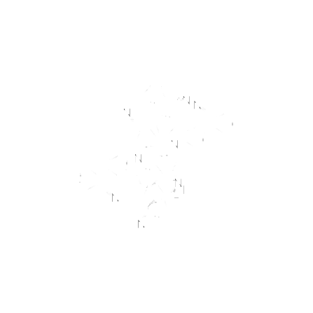 N#Cc1ccc(-c2cc(-c3ccc(C#N)cc3C(F)(F)F)ccc2-n2c3ccc(-c4ccccc4C#N)cc3c3cc(-c4ccccc4C#N)ccc32)c(-n2c3ccc(-c4ccccc4C#N)cc3c3cc(-c4ccccc4C#N)ccc32)c1